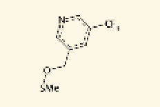 CSOCc1cncc(C(F)(F)F)c1